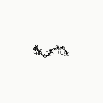 CC(C)(COCCC(=O)NCC(C)(C)OCCC(C)(C)C(=O)O)NC(=O)C(C)(C)CCOC(C)(C)CCNC(=O)CCN1C(=O)C=CC1=O